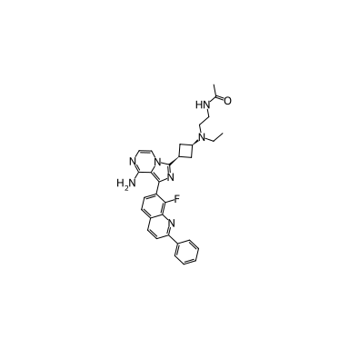 CCN(CCNC(C)=O)[C@H]1C[C@@H](c2nc(-c3ccc4ccc(-c5ccccc5)nc4c3F)c3c(N)nccn32)C1